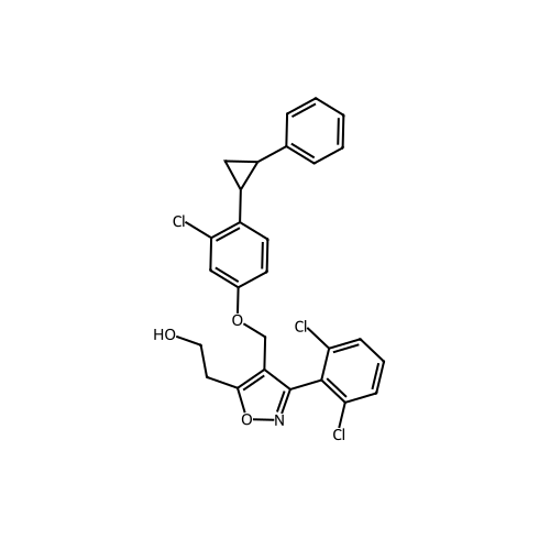 OCCc1onc(-c2c(Cl)cccc2Cl)c1COc1ccc(C2CC2c2ccccc2)c(Cl)c1